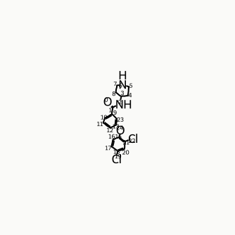 O=C(NC1CCNCC1)c1cccc(Oc2ccc(Cl)cc2Cl)c1